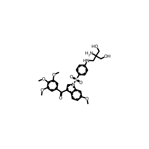 COc1ccc2c(C(=O)c3cc(OC)c(OC)c(OC)c3)cn(S(=O)(=O)c3ccc(NCC(N)(CO)CO)cc3)c2c1